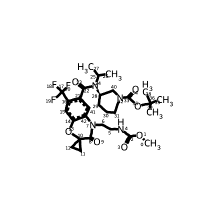 COC(=O)NCCN1C(=O)C2(CC2)Oc2cc(C(F)(F)F)c(C(=O)N(C(C)C)[C@@H]3CCCN(C(=O)OC(C)(C)C)C3)cc21